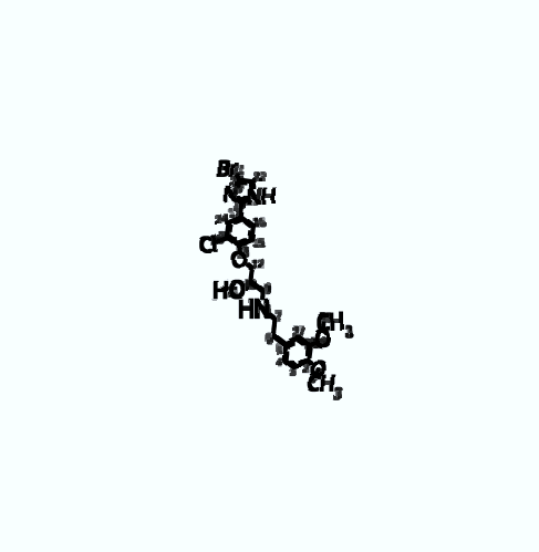 COc1ccc(CCNC[C@H](O)COc2ccc(-c3nc(Br)c[nH]3)cc2Cl)cc1OC